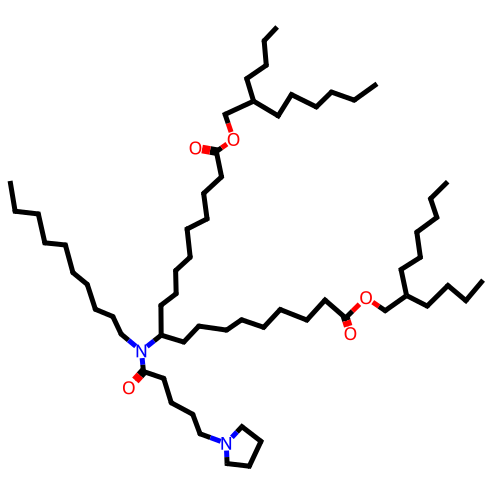 CCCCCCCCCCN(C(=O)CCCCN1CCCC1)C(CCCCCCCCC(=O)OCC(CCCC)CCCCCC)CCCCCCCCC(=O)OCC(CCCC)CCCCCC